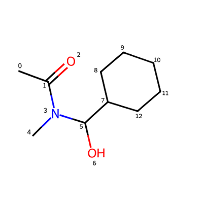 CC(=O)N(C)C(O)C1CCCCC1